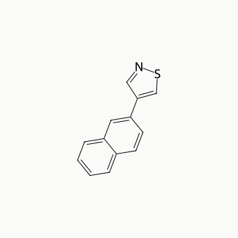 c1ccc2cc(-c3cnsc3)ccc2c1